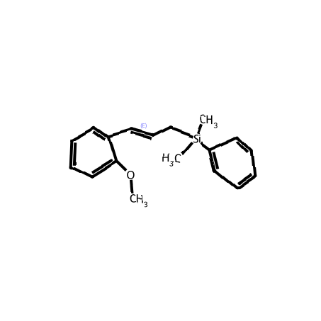 COc1ccccc1/C=C/C[Si](C)(C)c1ccccc1